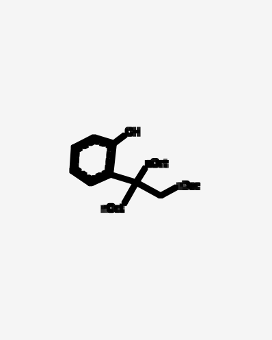 CCCCCCCCCCCC(CCCCCCCC)(CCCCCCCC)c1ccccc1O